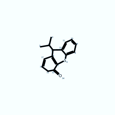 CC(C)C1C2=C(Sc3ccccc31)C(=O)CC=C2